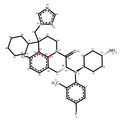 Cc1cc(F)ccc1N([C@H]1CC[C@H](N)CC1)[C@H](Cc1ccc(Cl)cc1)C(=O)N1CCC(Cn2cncn2)(C2CCCCC2)CC1